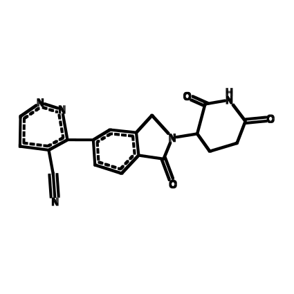 N#Cc1ccnnc1-c1ccc2c(c1)CN(C1CCC(=O)NC1=O)C2=O